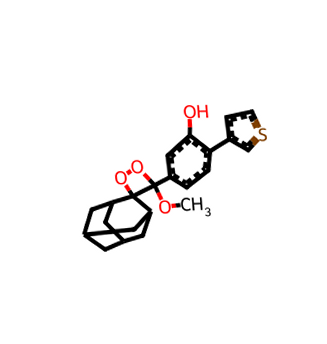 COC1(c2ccc(-c3ccsc3)c(O)c2)OOC12C1CC3CC(C1)CC2C3